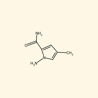 Cc1cc(C(N)=O)n(N)c1